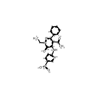 CCn1nc(-c2ccccc2)c(C(C)=O)c(Nc2ccc([N+](=O)[O-])cn2)c1=O